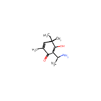 CC1=CC(C)(C)C(O)=C(C(C)N)C1=O